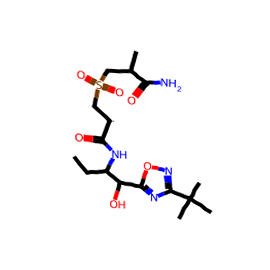 CCC(NC(=O)[CH]CS(=O)(=O)CC(C)C(N)=O)C(O)c1nc(C(C)(C)C)no1